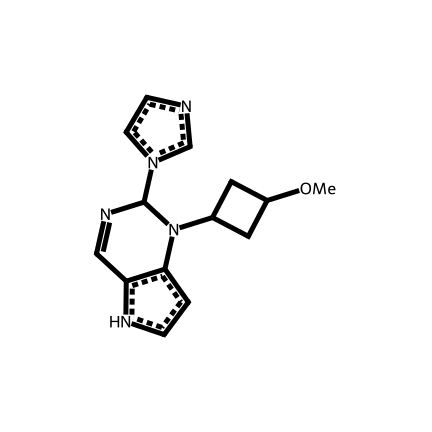 COC1CC(N2c3cc[nH]c3C=NC2n2ccnc2)C1